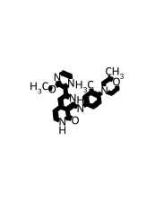 COc1nccnc1-c1cc2cc[nH]c(=O)c2c(Nc2ccc(N3CCO[C@H](C)C3)c(C)c2)n1